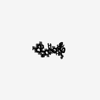 CCNC(=O)N=S(C)(=O)Cc1ccnc(Nc2cc(-c3ccc(F)c4ccoc34)c(F)cn2)c1